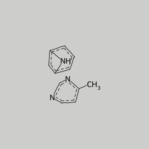 Cc1ccncn1.c1cc2cc(c1)N2